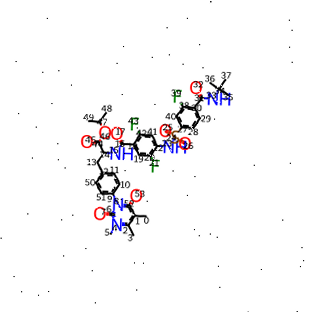 Cc1c(C)n(C)c(=O)n(-c2ccc(C[C@H](NC(=O)c3cc(F)c(NS(=O)(=O)c4ccc(C(=O)NC(C)(C)C)c(F)c4)cc3F)C(=O)OC(C)C)cc2)c1=O